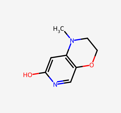 CN1CCOc2cnc(O)cc21